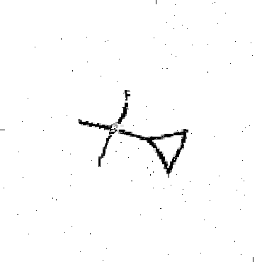 C[B-](F)(F)C1CC1